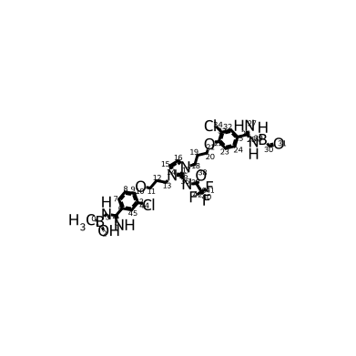 CB(O)NC(=N)c1ccc(OCCCn2ccn(CCCOc3ccc(C(=N)NBC=O)cc3Cl)/c2=N\C(=O)C(F)(F)F)c(Cl)c1